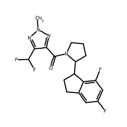 Cn1nc(C(=O)N2CCCC2C2CCc3cc(F)cc(F)c32)c(C(F)F)n1